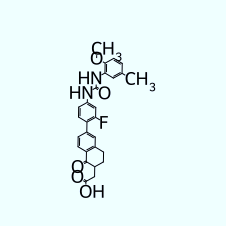 COc1ccc(C)cc1NC(=O)Nc1ccc(-c2ccc3c(c2)CCC(CC(=O)O)C3=O)c(F)c1